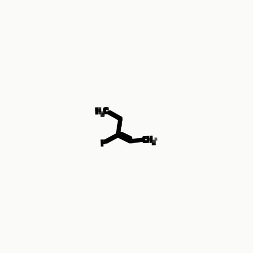 [CH2]/C=C(/F)CC